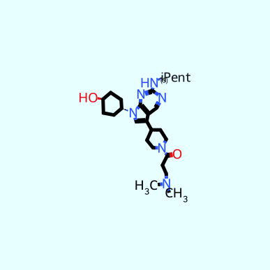 CCC[C@H](C)Nc1ncc2c(C3CCN(C(=O)CCN(C)C)CC3)cn([C@H]3CC[C@H](O)CC3)c2n1